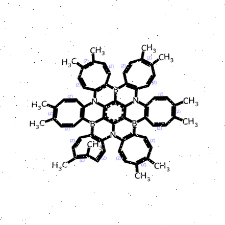 CC1=C(C)/C=C\C2=C(/C=C\1)B1C3=C(\C=C/C(C)=C(C)\C=C/3)N3C4=C(\C=C/C(C)=C(C)\C=C/4)B4C5=C(\C=C/C(C)=C(C)/C=C\5)N5C6=C(\C=C/C(C)=C(C)\C=C/6)B6C7=C(\C=C/C(C)=C(C)\C=C/7)N2c2c1c3c4c5c26